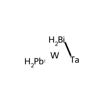 [PbH2].[Ta][BiH2].[W]